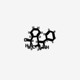 Cc1n[nH]c(-c2ccccc2)c1-c1ccccc1C(N)=O